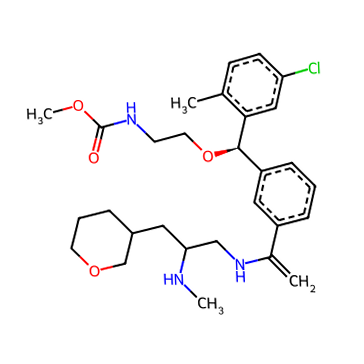 C=C(NCC(CC1CCCOC1)NC)c1cccc([C@@H](OCCNC(=O)OC)c2cc(Cl)ccc2C)c1